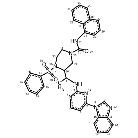 CC(Nc1nccc(-n2cnc3ccccc32)n1)C1CN(C(=O)Nc2cccc3ccccc23)CCN1S(=O)(=O)c1ccccc1